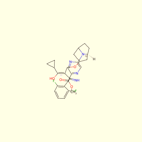 COC(=O)c1cnc(N2C3CC[C@H]2CC(OC/C(C(=N)c2c(F)cccc2F)=C(/O)C2CC2)C3)cn1